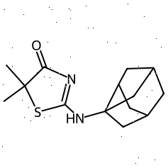 CC1(C)SC(NC23CC4CC(CC2C4)C3)=NC1=O